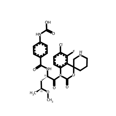 CO[C@@H](C)C[C@H](NC(=O)c1ccc(NC(=O)O)cc1)C(=O)N1C(=O)OC2(CCCNC2)c2c1ccc(Cl)c2F